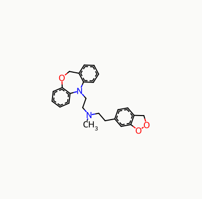 CN(CCc1ccc2c(c1)OOC2)CCN1c2ccccc2COc2ccccc21